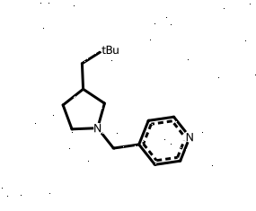 CC(C)(C)CC1CCN(Cc2ccncc2)C1